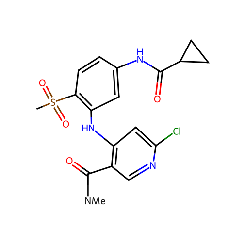 CNC(=O)c1cnc(Cl)cc1Nc1cc(NC(=O)C2CC2)ccc1S(C)(=O)=O